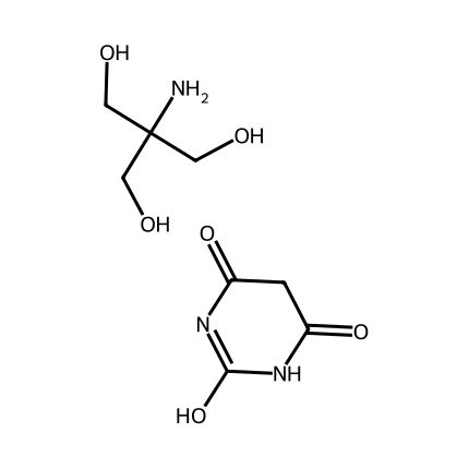 NC(CO)(CO)CO.O=C1CC(=O)NC(O)=N1